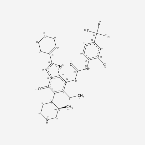 CCc1c(N2CCNC[C@@H]2C)c(=O)n2nc(C3=CCOCC3)nc2n1CC(=O)Nc1ccc(C(F)(F)F)cc1Cl